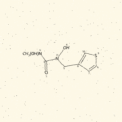 CN(O)C(=O)N(O)Cc1ccsc1